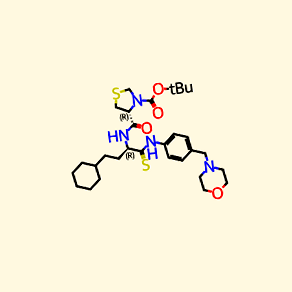 CC(C)(C)OC(=O)N1CSC[C@H]1C(=O)N[C@H](CCC1CCCCC1)C(=S)Nc1ccc(CN2CCOCC2)cc1